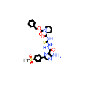 CC(C)S(=O)(=O)c1ccc(-c2cnc(N)c(C(=O)NNC(=S)NC(=O)[C@@H]3CCCCN3C(=O)OCc3ccccc3)n2)cc1